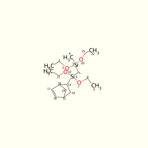 CCO[Si](C)(C[Si](OCC)(OCC)C1CC2C=CC1C2)OCC